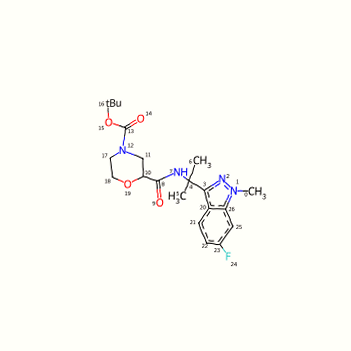 Cn1nc(C(C)(C)NC(=O)C2CN(C(=O)OC(C)(C)C)CCO2)c2ccc(F)cc21